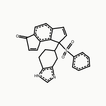 O=C1C=Cc2c1ccc1c2C(C2CCc3[nH]cnc3C2)(S(=O)(=O)c2ccccc2)C=C1